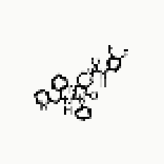 O=C(Nc1ccc(F)c(F)c1)N1CCc2nc(NC(Cc3ccccn3)c3ccccc3)n(-c3ccccc3)c(=O)c2C1